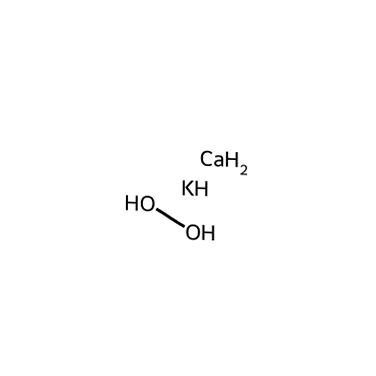 OO.[CaH2].[KH]